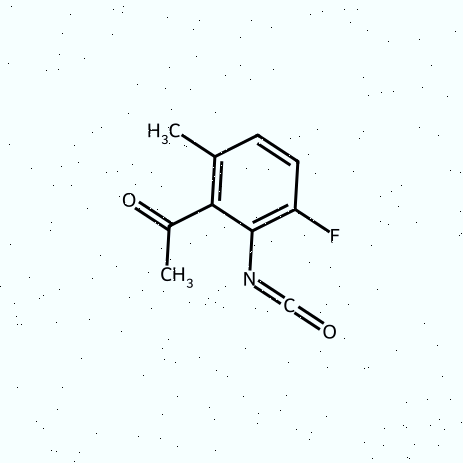 CC(=O)c1c(C)ccc(F)c1N=C=O